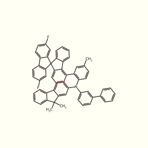 Cc1ccc(N(c2cccc(-c3ccccc3)c2)c2ccc3c(c2)C(C)(C)c2ccccc2-3)c(-c2cccc3c2-c2ccccc2C32c3cc(F)ccc3-c3ccc(F)cc32)c1